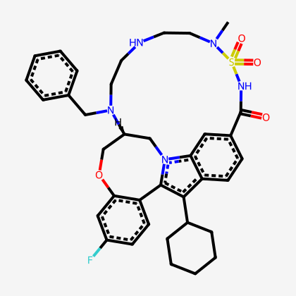 CN1CCNCCN(Cc2ccccc2)[C@H]2COc3cc(F)ccc3-c3c(C4CCCCC4)c4ccc(cc4n3C2)C(=O)NS1(=O)=O